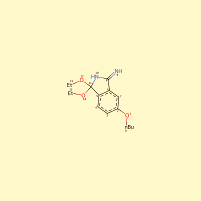 CCCCOc1ccc2c(c1)C(=N)NC2(OCC)OCC